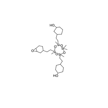 C[Si]1(C)O[Si](C)(CCC2CCC(O)CC2)O[Si](C)(CCC2CCC3OC3C2)O[Si](C)(CCC2CCCC(O)C2)O1